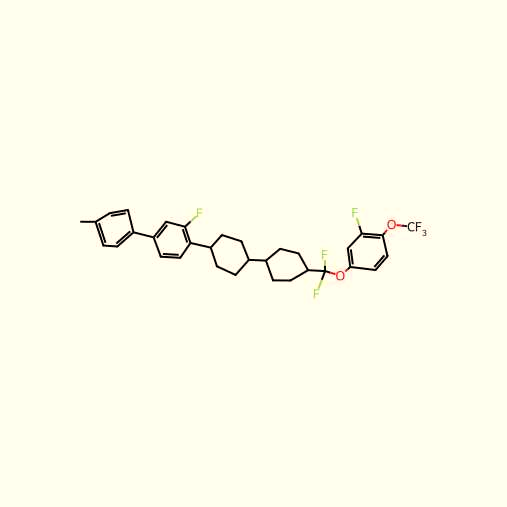 Cc1ccc(-c2ccc(C3CCC(C4CCC(C(F)(F)Oc5ccc(OC(F)(F)F)c(F)c5)CC4)CC3)c(F)c2)cc1